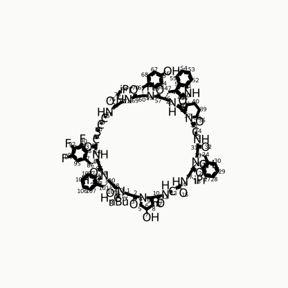 CCCC[C@H]1C(=O)N2C[C@H](O)C[C@@H]2C(=O)NCC(=O)N[C@@H](C(C)C)C(=O)N(C)[C@@H](Cc2ccccc2)C(=O)NCC(=O)N2CCCC[C@@H]2C(=O)N[C@@H](Cc2c[nH]c3ccccc23)C(=O)N[C@@H](Cc2ccc(O)cc2)C(=O)N[C@@H](CC(C)C)C(=O)NCCSCC(=O)N[C@@H](Cc2cc(F)c(F)c(F)c2)C(=O)N(C)[C@@H](Cc2ccccc2)C(=O)N1C